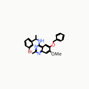 COc1cc2nc(C)nc(NC(C)c3cccc(Br)c3)c2cc1OCc1ccccc1